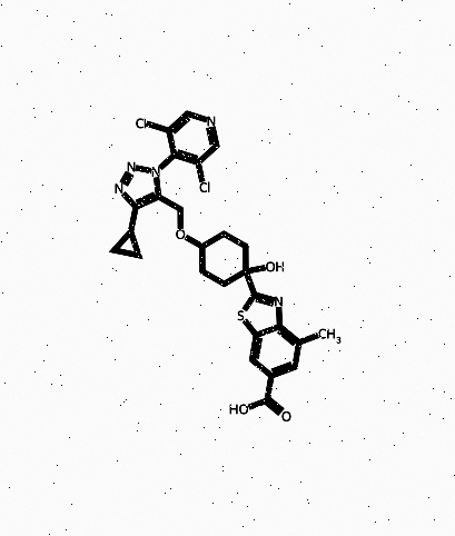 Cc1cc(C(=O)O)cc2sc(C3(O)CCC(OCc4c(C5CC5)nnn4-c4c(Cl)cncc4Cl)CC3)nc12